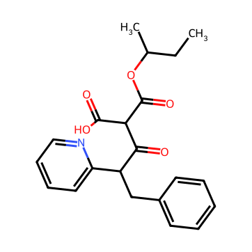 CCC(C)OC(=O)C(C(=O)O)C(=O)C(Cc1ccccc1)c1ccccn1